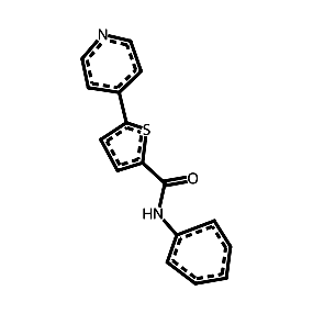 O=C(Nc1ccccc1)c1ccc(-c2ccncc2)s1